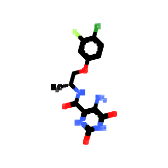 C[C@H](COc1ccc(Cl)c(F)c1)NC(=O)c1[nH]c(=O)[nH]c(=O)c1N